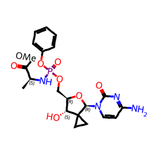 COC(=O)[C@H](C)NP(=O)(OC[C@H]1O[C@@H](n2ccc(N)nc2=O)C2(CC2)[C@@H]1O)Oc1ccccc1